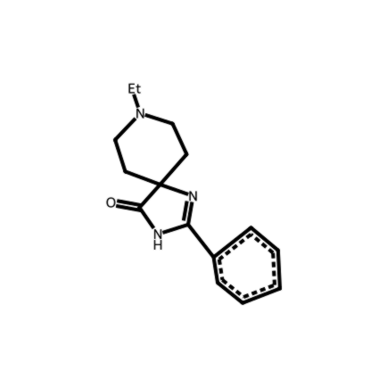 CCN1CCC2(CC1)N=C(c1ccccc1)NC2=O